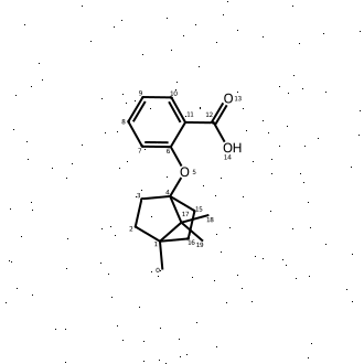 CC12CCC(Oc3ccccc3C(=O)O)(CC1)C2(C)C